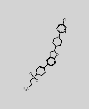 CCCS(=O)(=O)N1CC=C(c2ccc3c(c2)CC(C2CCN(c4ncc(Cl)cn4)CC2)O3)CC1